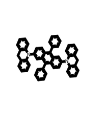 c1ccc(-c2c3ccc(N4c5ccccc5Cc5ccccc54)cc3c(-c3ccccc3)c3ccc(N4c5ccccc5Cc5ccccc54)cc23)cc1